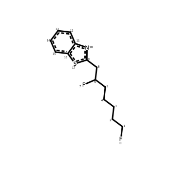 FCCCCCC(F)Cc1nc2ccccc2s1